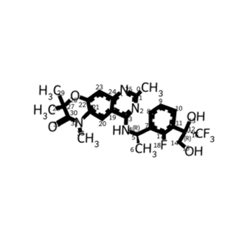 Cc1nc(N[C@H](C)c2cccc([C@@](O)(CO)C(F)(F)F)c2F)c2cc3c(cc2n1)OC(C)(C)C(=O)N3C